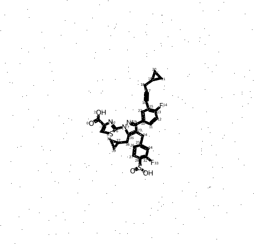 O=C(O)c1csc(-n2nc(-c3ccc(F)c(C#CCC4CC4)c3)c(Cc3ccc(S(=O)O)c(F)c3)c2CC2CC2)n1